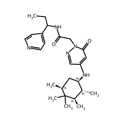 CCC(NC(=O)Cn1ncc(N[C@@H]2C[C@H](C)C(C)(C)[C@H](C)[C@H]2C)cc1=O)c1ccncc1